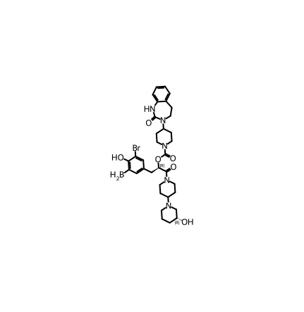 Bc1cc(C[C@@H](OC(=O)N2CCC(N3CCc4ccccc4NC3=O)CC2)C(=O)N2CCC(N3CCC[C@@H](O)C3)CC2)cc(Br)c1O